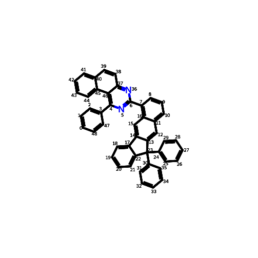 c1ccc(-c2nc(-c3cccc4cc5c(cc34)-c3ccccc3C5(c3ccccc3)c3ccccc3)nc3ccc4ccccc4c23)cc1